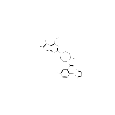 CCOc1nc(N2CC[C@@H](C)N(C(=O)c3cc(C)ccc3-n3nccn3)CC2)nc2oc(C)c(C)c12